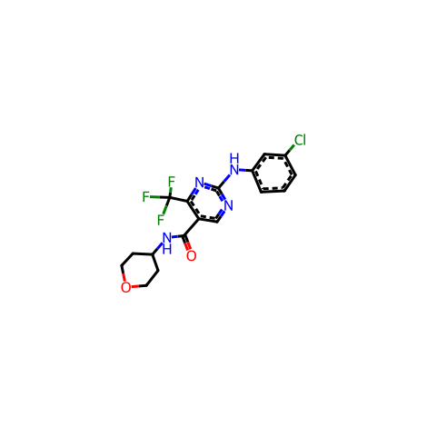 O=C(NC1CCOCC1)c1cnc(Nc2cccc(Cl)c2)nc1C(F)(F)F